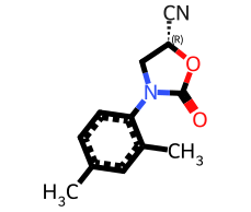 Cc1ccc(N2C[C@H](C#N)OC2=O)c(C)c1